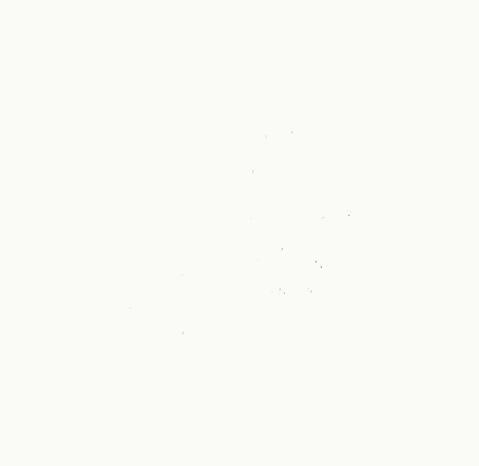 Brc1c2ccccc2cc2c(OCc3ccccc3)ncnc12